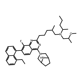 CCCC(C)N(CC(C)CCCc1nc(N2CC3CCC(C2)N3)c2ccc(-c3cccc4cccc(CC)c34)c(F)c2n1)CC(C)OC